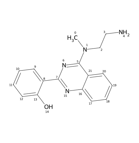 CN(CCN)c1nc(-c2ccccc2O)nc2ccccc12